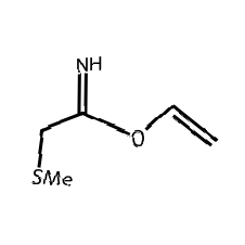 C=COC(=N)CSC